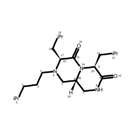 CC(C)CCCN1C[C@H]2CNC(=O)[C@H](CC(C)C)N2C(=O)[C@@H]1CC(C)C